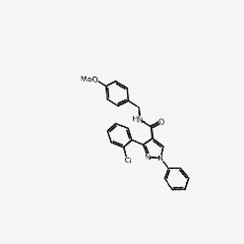 COc1ccc(CNC(=O)c2cn(-c3ccccc3)nc2-c2ccccc2Cl)cc1